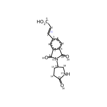 O=C(O)/C=C/c1ccc2c(c1)C(=O)N(C1CCC(=O)NC1)C2=O